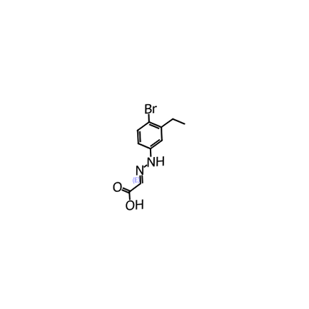 CCc1cc(N/N=C/C(=O)O)ccc1Br